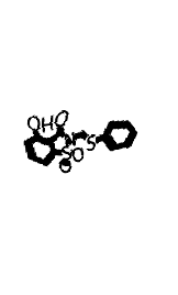 O=C1c2c(O)cccc2S(=O)(=O)N1CSc1ccccc1